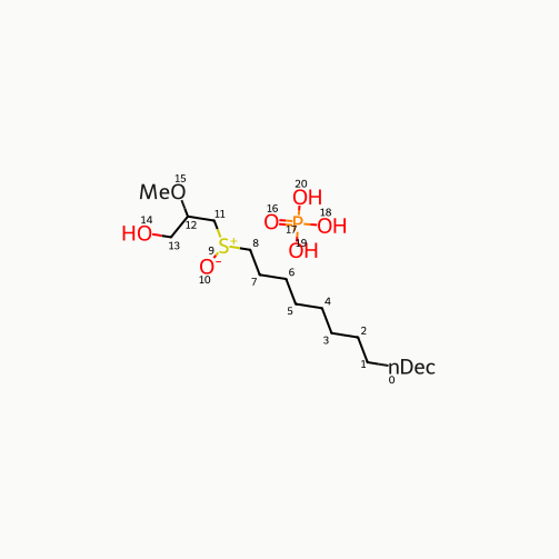 CCCCCCCCCCCCCCCCCC[S+]([O-])CC(CO)OC.O=P(O)(O)O